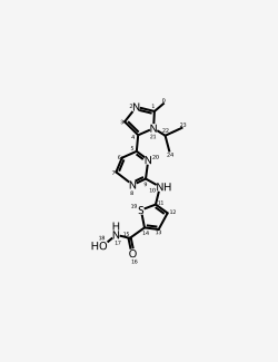 Cc1ncc(-c2ccnc(Nc3ccc(C(=O)NO)s3)n2)n1C(C)C